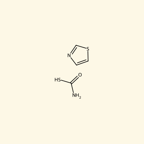 NC(=O)S.c1cscn1